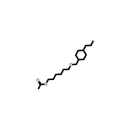 CCCC1CCC(COCCCCCCOC(C)=O)CC1